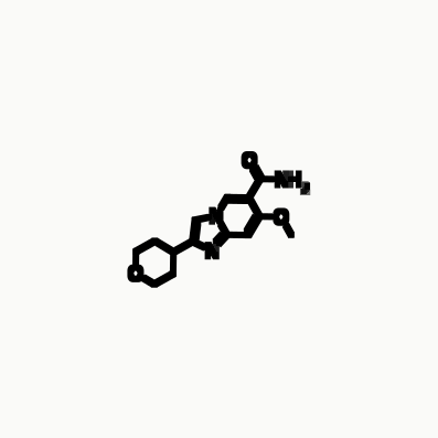 COc1cc2nc(C3CCOCC3)cn2cc1C(N)=O